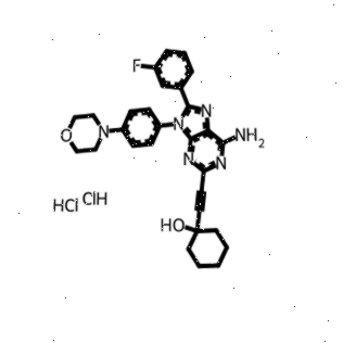 Cl.Cl.Nc1nc(C#CC2(O)CCCCC2)nc2c1nc(-c1cccc(F)c1)n2-c1ccc(N2CCOCC2)cc1